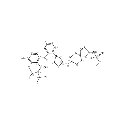 CCS(=O)(=O)NC1COC2(CCN(C[C@@H]3CCN(c4ncncc4Oc4ccc(F)cc4C(=O)N(C(C)C)C(C)C)C3)CC2)C1